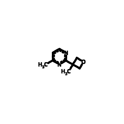 Cc1ccnc(C2(C)COC2)n1